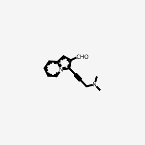 CN(C)CC#Cc1c(C=O)cc2ccccn12